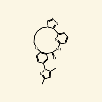 Cc1cc(C)n(-c2ccc3c(c2)C(=O)Nc2cccc(n2)-c2nncn2CCCCO3)n1